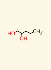 [CH2]CCC(O)[CH]O